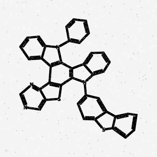 c1ccc(-n2c3ccccc3c3c4c5ncncc5sc4c4c(c5ccccc5n4-c4ccc5sc6ccccc6c5c4)c32)cc1